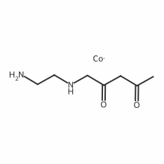 CC(=O)CC(=O)CNCCN.[Co]